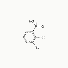 CCc1cccc([PH](=O)O)c1CC